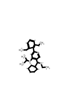 CCOC(c1cnc(-c2c(CC)cccc2CC)cc1OC(C)C)C1CCCCC1